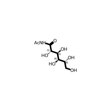 CC(=O)NC(=O)[C@@H](O)[C@@H](O)[C@H](O)[C@H](O)CO